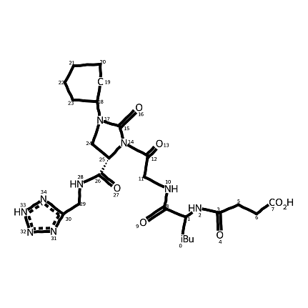 CCC(C)C(NC(=O)CCC(=O)O)C(=O)NCC(=O)N1C(=O)N(C2CCCCC2)C[C@H]1C(=O)NCc1nn[nH]n1